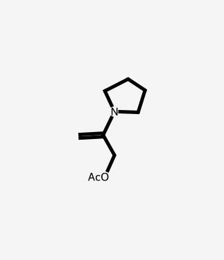 C=C(COC(C)=O)N1CCCC1